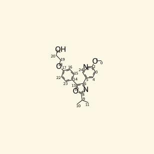 COc1ccc(-c2nc(C(C)C)oc2-c2ccc(OCCO)cc2)cn1